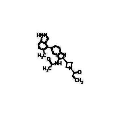 C=CC(=O)N1CC(c2nc3ccc(-c4c(C)ccc5[nH]ncc45)cn3c2NC(C)=O)C1